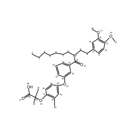 CCCCCCCN(CCc1ccc(OC)c(OC)c1)C(=O)c1cccc(Oc2ccc(OC(C)(C)C(=O)O)c(C)c2)c1